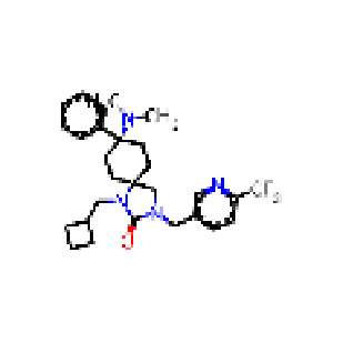 CN(C)[C@]1(c2ccccc2)CC[C@@]2(CC1)CN(Cc1ccc(C(F)(F)F)nc1)C(=O)N2CC1CCC1